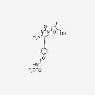 Nc1nc(=O)n(C2CC(F)C(CO)O2)cc1C#Cc1ccc(OCCNC(=O)C(F)(F)F)cc1